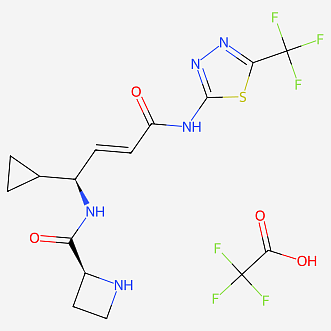 O=C(C=C[C@@H](NC(=O)[C@@H]1CCN1)C1CC1)Nc1nnc(C(F)(F)F)s1.O=C(O)C(F)(F)F